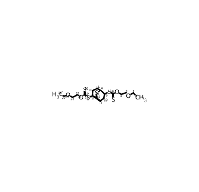 CCOCCOC(=S)SC1CCC2SC1CCC2SC(=S)OCCOCC